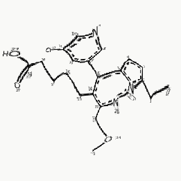 CCc1ccc2c(-c3cncc(Cl)c3)c(CCCCC(=O)O)c(COC)nn12